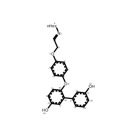 CCCCCCN=CCOc1ccc(Oc2ccc(O)cc2-c2cccc(O)c2)cc1